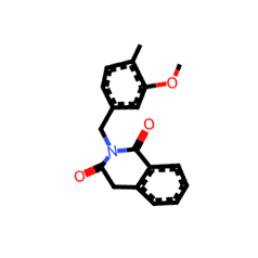 COc1cc(CN2C(=O)Cc3ccccc3C2=O)ccc1C